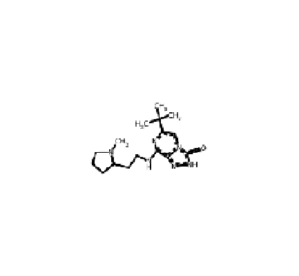 CN1CCCC1CCNc1nc(C(C)(C)C)cn2c(=O)[nH]nc12